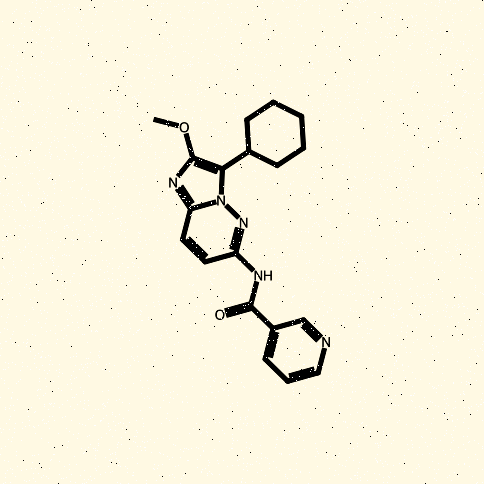 COc1nc2ccc(NC(=O)c3cccnc3)nn2c1C1CCCCC1